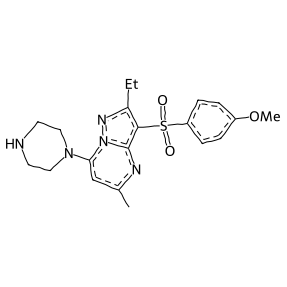 CCc1nn2c(N3CCNCC3)cc(C)nc2c1S(=O)(=O)c1ccc(OC)cc1